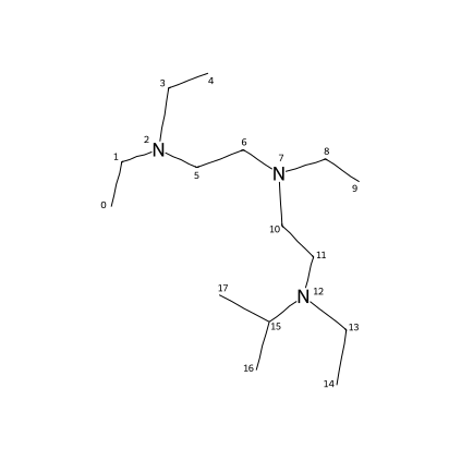 CCN(CC)CCN(CC)CCN(CC)C(C)C